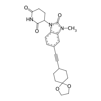 Cn1c(=O)n(C2CCC(=O)NC2=O)c2ccc(C#CC3CCC4(CC3)OCCO4)cc21